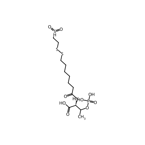 CC(OP(=O)(O)O)[C@H](NC(=O)CCCCCCSSCC[SH](=O)=O)C(=O)O